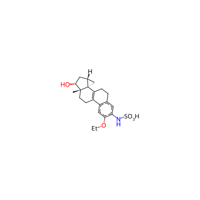 CCOc1cc2c(cc1NS(=O)(=O)O)CCC1=C2CC[C@]2(C)[C@@H](O)C[C@@H]3C[C@@]132